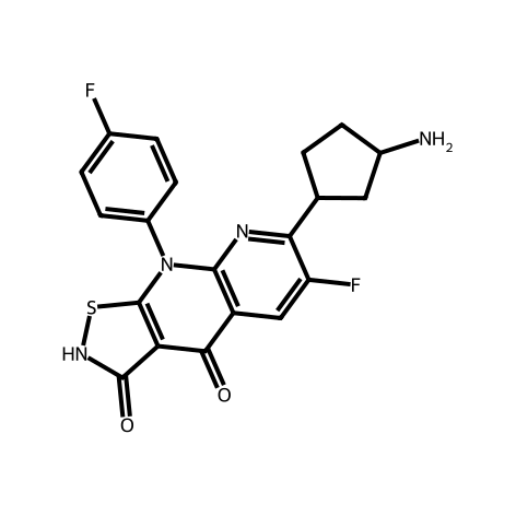 NC1CCC(c2nc3c(cc2F)c(=O)c2c(=O)[nH]sc2n3-c2ccc(F)cc2)C1